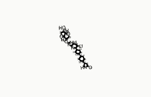 O=C1CC(c2ccc(-c3ccc(-c4nc5nc(O[C@@H]6CO[C@H]7[C@@H]6OC[C@H]7O)[nH]c5cc4Cl)cc3)cc2)CN1